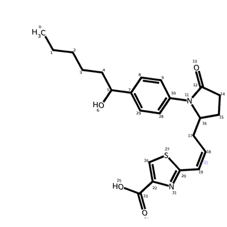 CCCCCC(O)c1ccc(N2C(=O)CCC2C/C=C\c2nc(C(=O)O)cs2)cc1